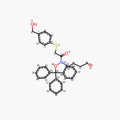 O=C(CSc1ccc(CO)cc1)N(CCCCBr)OC(c1ccccc1)(c1ccccc1)c1ccccc1